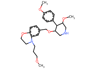 COCCCN1CCOc2ccc(COC3CNCC(OC)C3c3ccc(OC)cc3)cc21